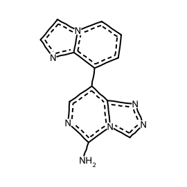 Nc1ncc(-c2cccn3ccnc23)c2nncn12